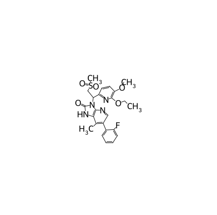 CCOc1nc(C(CS(C)(=O)=O)n2c(=O)[nH]c3c(C)c(-c4ccccc4F)cnc32)ccc1OC